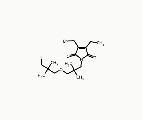 CCC1=C(CBr)C(=O)N(CC(C)(C)COCC(C)(C)CI)C1=O